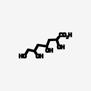 O=C(O)C(O)CC(O)CC(O)CO